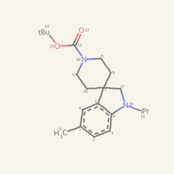 Cc1ccc2c(c1)C1(CCN(C(=O)OC(C)(C)C)CC1)CN2C(C)C